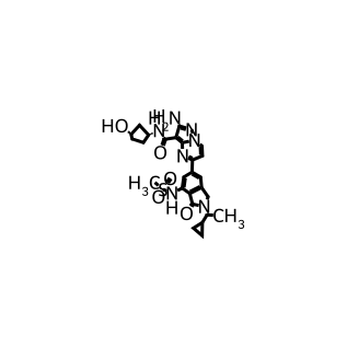 CC(C1CC1)N1Cc2cc(-c3ccn4nc(N)c(C(=O)N[C@@H]5CC[C@@H](O)C5)c4n3)cc(NS(C)(=O)=O)c2C1=O